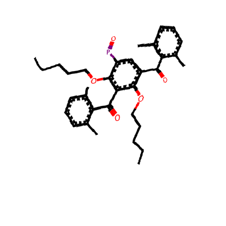 CCCCCOc1c(P=O)cc(C(=O)c2c(C)cccc2C)c(OCCCCC)c1C(=O)c1c(C)cccc1C